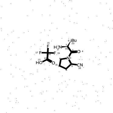 CC[C@H](C)[C@H](N)C(=O)N1CCCC1C#N.O=C(O)C(F)(F)F